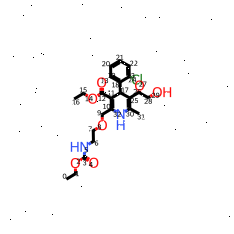 CCOC(=O)NCCOCC1=C(C(=O)OCC)C(c2ccccc2Cl)C(C(=O)CO)=C(C)N1